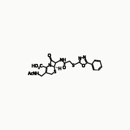 CC(=O)NCC1=C(C(=O)O)N2C(=O)C(NC(=O)CSc3nnc(-c4ccccc4)o3)[C@H]2SC1